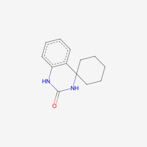 O=C1Nc2ccccc2C2(CCCCC2)N1